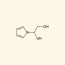 CCCC(CO)n1cccc1